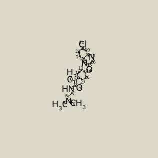 CC(C(=O)NCCN(C)C)c1ccc(Oc2cnc3cc(Cl)ccc3n2)cc1